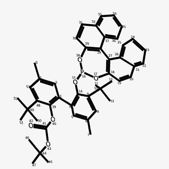 Cc1cc(-c2cc(C)cc(C(C)(C)C)c2Op2oc3ccc4ccccc4c3c3c(ccc4ccccc43)o2)c(OC(=O)OC(C)(C)C)c(C(C)(C)C)c1